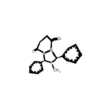 CP1[C@H](c2ccccc2)N2C(=O)CCC(=O)N2[C@@H]1c1ccccc1